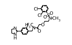 CN(Cc1ccc(C2=NCCN2)cc1F)C(=O)COCCN(C)S(=O)(=O)c1cccc(Cl)c1Cl